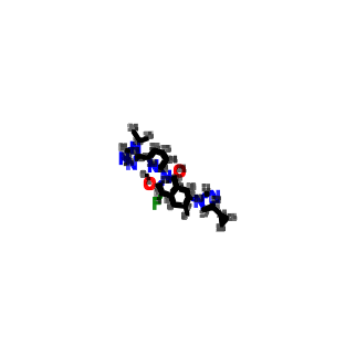 COc1c(F)c2cc(C)c(-n3cnc(C4CC4)c3)cc2c(=O)n1-c1cccc(-c2nncn2C(C)C)n1